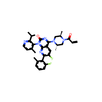 C=CC(=O)N1C[C@H](C)N(c2nc(=O)n(-c3c(C)ccnc3C(C)C)c3nc(-c4c(C)cccc4F)c(F)cc23)C[C@H]1C